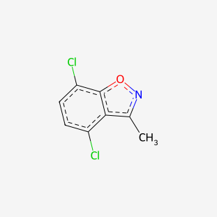 Cc1noc2c(Cl)ccc(Cl)c12